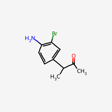 CC(=O)C(C)c1ccc(N)c(Br)c1